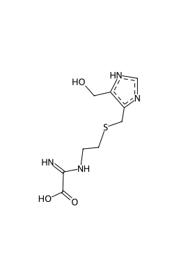 N=C(NCCSCc1nc[nH]c1CO)C(=O)O